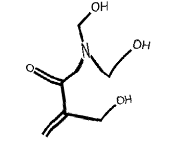 C=C(CO)C(=O)N(CO)CO